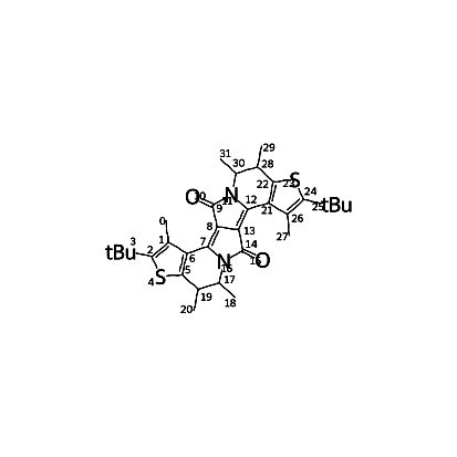 Cc1c(C(C)(C)C)sc2c1C1=C3C(=O)N4C(=C3C(=O)N1C(C)C2C)c1c(sc(C(C)(C)C)c1C)C(C)C4C